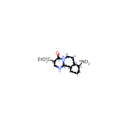 CCOC(=O)c1cnc2c3cccc([N+](=O)[O-])c3ccn2c1=O